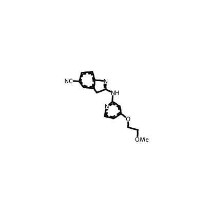 COCCOc1ccnc(NC2=Nc3ccc(C#N)cc3C2)c1